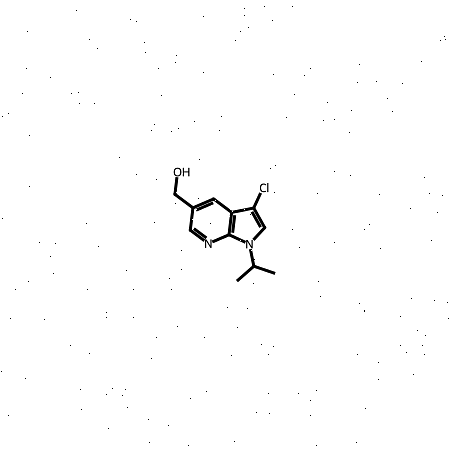 CC(C)n1cc(Cl)c2cc(CO)cnc21